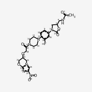 CC(=O)NCC1CN(c2ccc(N3CCN(C(=O)COC4COc5nc([N+](=O)[O-])cn5C4)CC3)c(F)c2)C(=O)O1